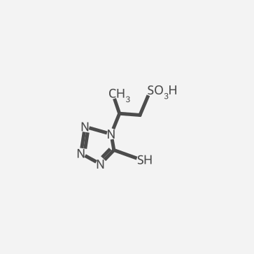 CC(CS(=O)(=O)O)n1nnnc1S